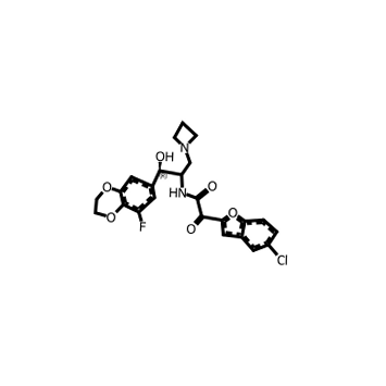 O=C(NC(CN1CCC1)[C@H](O)c1cc(F)c2c(c1)OCCO2)C(=O)c1cc2cc(Cl)ccc2o1